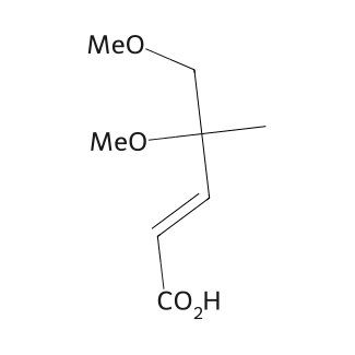 COCC(C)(C=CC(=O)O)OC